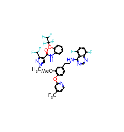 COc1cc(CCNc2ncnc3c(F)ccc(F)c23)ccc1Oc1cc(C(F)(F)F)ccn1.Cn1cc(C(=O)Nc2ccccc2OC(F)(F)C(F)F)c(C(F)F)n1